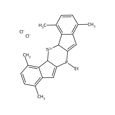 CCP1C2=Cc3c(C)ccc(C)c3[CH]2[Ti+2][CH]2C1=Cc1c(C)ccc(C)c12.[Cl-].[Cl-]